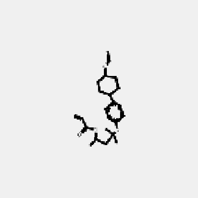 C=CC(=O)OC(C)CC(C)(C)Oc1ccc(C2CCC(OCC)CC2)cc1